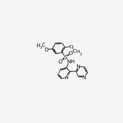 COc1ccc(OC)c(S(=O)(=O)Nc2cccnc2-c2cnccn2)c1